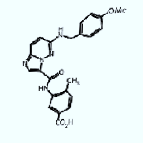 COc1ccc(CNc2ccc3ncc(C(=O)Nc4cc(C(=O)O)ccc4C)n3n2)cc1